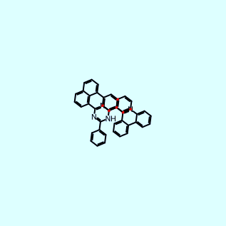 c1ccc(C2=NC(c3cccc4cccc(-c5ccc(-c6nc7ccccc7c7ccccc67)cc5)c34)=NC(c3ccccc3)N2)cc1